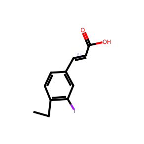 CCc1ccc(/C=C/C(=O)O)cc1I